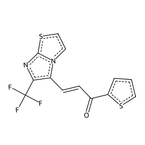 O=C(C=Cc1c(C(F)(F)F)nc2sccn12)c1cccs1